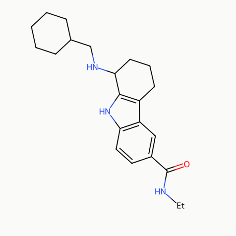 CCNC(=O)c1ccc2[nH]c3c(c2c1)CCCC3NCC1CCCCC1